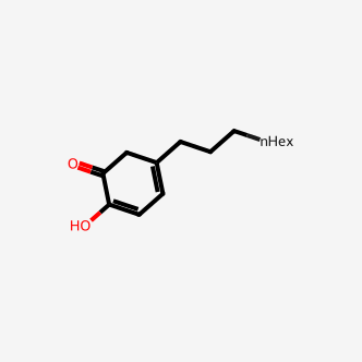 CCCCCCCCCC1=CC=C(O)C(=O)C1